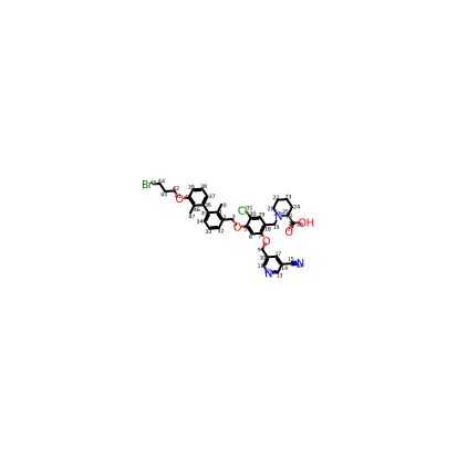 Cc1c(COc2cc(OCc3cncc(C#N)c3)c(CN3CCCC[C@H]3C(=O)O)cc2Cl)cccc1-c1cccc(OCCCBr)c1C